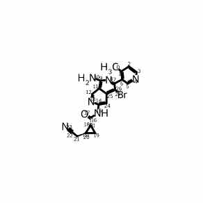 Cc1ccncc1-c1nc(N)c2cnc(NC(=O)[C@@H]3C[C@H]3CC#N)cc2c1Br